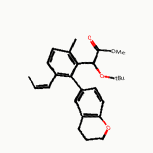 C/C=C\c1ccc(C)c(C(OC(C)(C)C)C(=O)OC)c1-c1ccc2c(c1)CCCO2